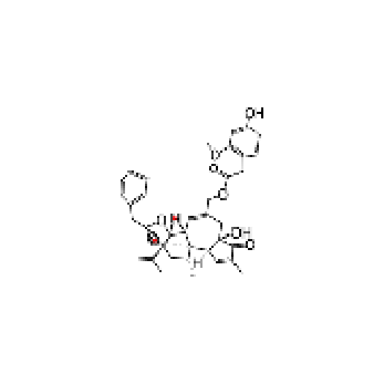 C=C(C)[C@]12C[C@@H](C)[C@@]34OC(Cc5ccccc5)(O[C@@H]1[C@@H]3C=C(COC(=O)Cc1ccc(O)cc1OC)C[C@]1(O)C(=O)C(C)=C[C@@H]41)O2